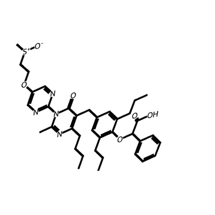 CCCCc1nc(C)n(-c2ncc(OCC[S+](C)[O-])cn2)c(=O)c1Cc1cc(CCC)c(OC(C(=O)O)c2ccccc2)c(CCC)c1